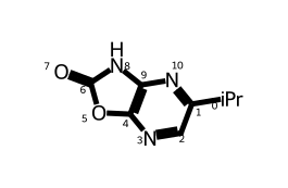 CC(C)c1cnc2oc(=O)[nH]c2n1